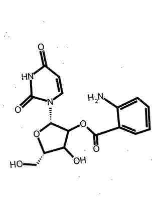 Nc1ccccc1C(=O)OC1C(O)[C@H](CO)O[C@@H]1n1ccc(=O)[nH]c1=O